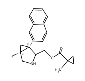 NC1(C(=O)OCC2NC[C@H]3C[C@@]23c2ccc3ccccc3c2)CC1